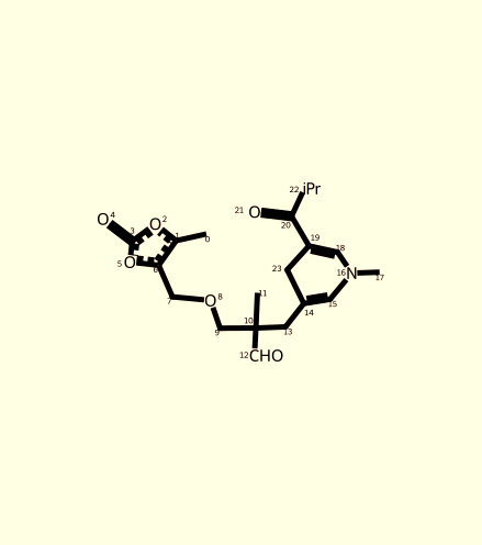 Cc1oc(=O)oc1COCC(C)(C=O)CC1=CN(C)C=C(C(=O)C(C)C)C1